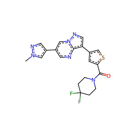 Cn1cc(-c2cnc3c(-c4csc(C(=O)N5CCC(F)(F)CC5)c4)cnn3c2)cn1